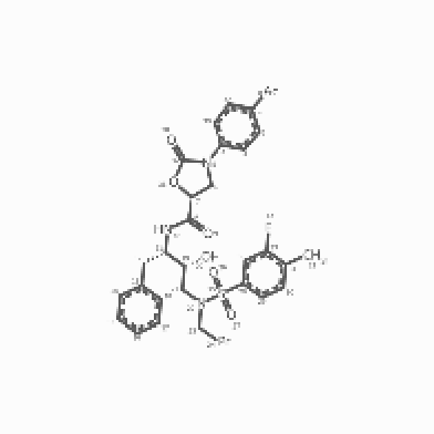 CC(=O)c1ccc(N2C[C@@H](C(=O)N[C@@H](Cc3ccccc3)[C@H](O)CN(CC(C)C)S(=O)(=O)c3ccc(C)c(F)c3)OC2=O)cc1